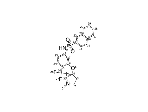 CN1CC[C@@H](Oc2cc(NS(=O)(=O)c3ccc4ccccc4c3)ccc2C(F)(F)F)C1